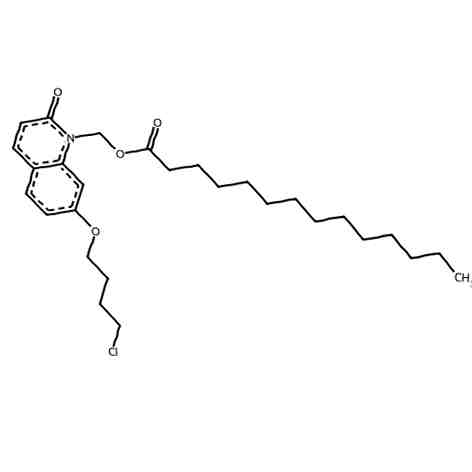 CCCCCCCCCCCCCC(=O)OCn1c(=O)ccc2ccc(OCCCCCl)cc21